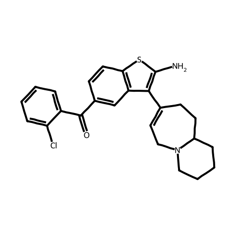 Nc1sc2ccc(C(=O)c3ccccc3Cl)cc2c1C1=CCN2CCCCC2CC1